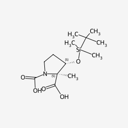 CC(C)(C)[Si](C)(C)O[C@H]1CCN(C(=O)O)[C@]1(C)C(=O)O